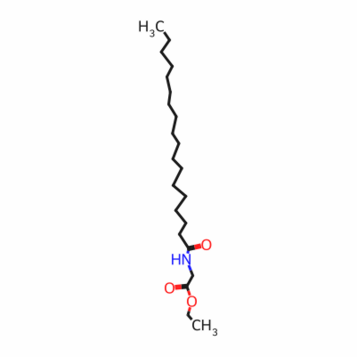 CCCCCCCCCCCCCCCCCC(=O)NCC(=O)OCC